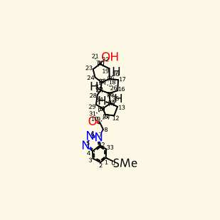 CSc1ccc2nnn(CC(=O)[C@H]3CC[C@H]4[C@@H]5CC[C@@H]6C[C@](C)(O)CC[C@]6(C)[C@H]5CC[C@]34C)c2c1